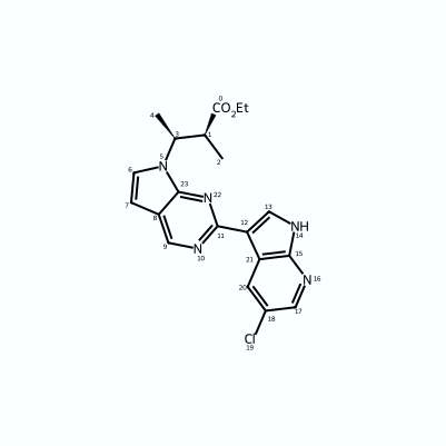 CCOC(=O)[C@@H](C)[C@H](C)n1ccc2cnc(-c3c[nH]c4ncc(Cl)cc34)nc21